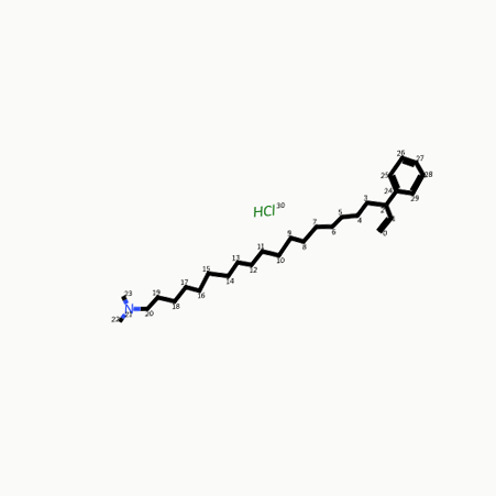 C=CC(CCCCCCCCCCCCCCCCCCN(C)C)c1ccccc1.Cl